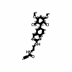 C#CC(=O)NCCNc1ncc2cc(-c3c(Cl)c(OC)cc(OC)c3Cl)ccc2n1